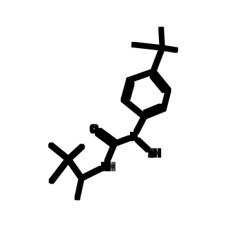 CC(NC(=O)N(S)c1ccc(C(C)(C)C)cc1)C(C)(C)C